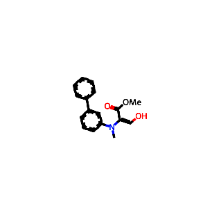 COC(=O)C(=CO)N(C)c1cccc(-c2ccccc2)c1